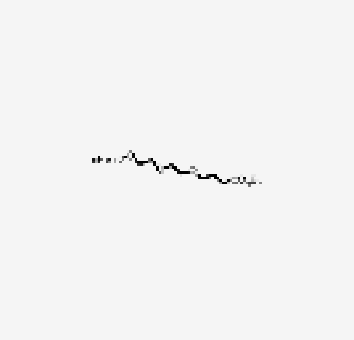 CCCCCOCCOCCOCCCC(=O)OCC